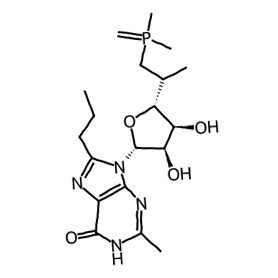 C=P(C)(C)CC(C)[C@H]1O[C@@H](n2c(CCC)nc3c(=O)[nH]c(C)nc32)[C@H](O)[C@@H]1O